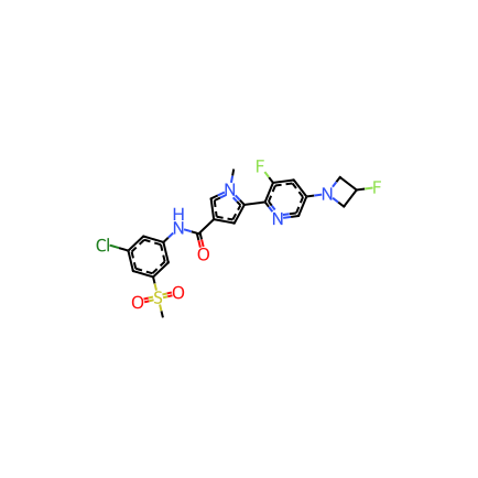 Cn1cc(C(=O)Nc2cc(Cl)cc(S(C)(=O)=O)c2)cc1-c1ncc(N2CC(F)C2)cc1F